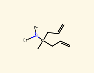 C=CC[Si](C)(CC=C)N(CC)CC